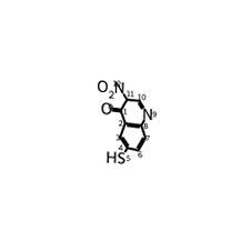 O=C1c2cc(S)ccc2N=CC1[N+](=O)[O-]